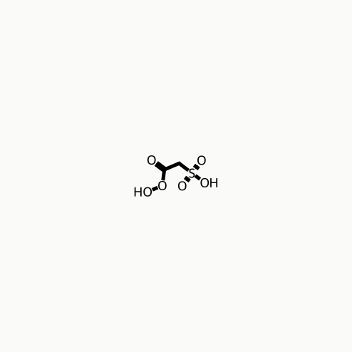 O=C(CS(=O)(=O)O)OO